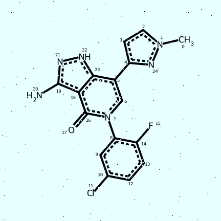 Cn1ccc(-c2cn(-c3cc(Cl)ccc3F)c(=O)c3c(N)n[nH]c23)n1